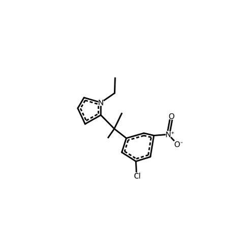 CCn1cccc1C(C)(C)c1cc(Cl)cc([N+](=O)[O-])c1